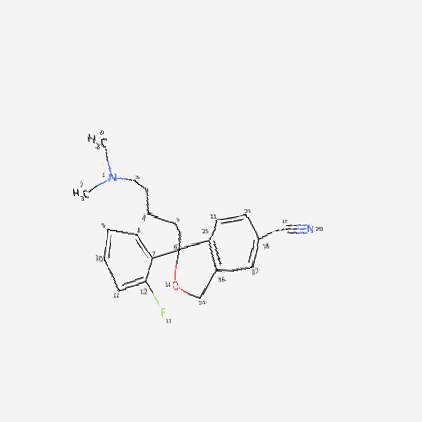 CN(C)CCCC1(c2ccccc2F)OCc2cc(C#N)ccc21